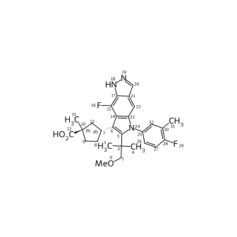 COCC(C)(C)c1c([C@@H]2CC[C@@](C)(C(=O)O)C2)c2c(F)c3[nH]ncc3cc2n1-c1ccc(F)c(C)c1